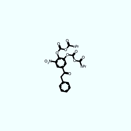 CCCC(=O)OC(=O)Oc1cc(C(=O)Cc2ccccc2)cc([N+](=O)[O-])c1OC(=O)OC(=O)CCC